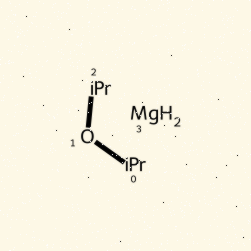 CC(C)OC(C)C.[MgH2]